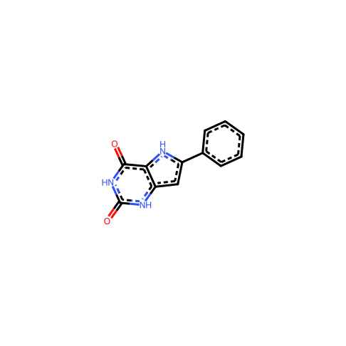 O=c1[nH]c(=O)c2[nH]c(-c3ccccc3)cc2[nH]1